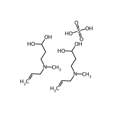 C=CCN(C)CCC(O)O.C=CCN(C)CCC(O)O.O=S(=O)(O)O